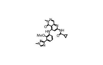 COc1c(Nc2cc(NC(=O)C3CC3)nc3cnn(C)c(=O)c23)cccc1-c1ncn(C)n1